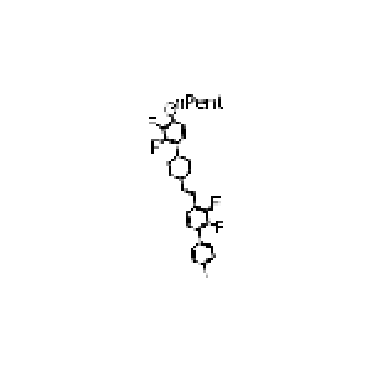 CCCCCOc1ccc(C2CCC(/C=C/c3ccc(-c4ccc(C)cc4)c(F)c3F)CC2)c(F)c1F